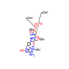 CCCCCCCCCCCCCCCC(=O)OCC(CSC[C@H](NC(=O)OC(C)(C)C)C(=O)N[C@@H](COC(C)(C)C)C(=O)Nc1ccc(Cn2c(O)nc3c(N)nc(NCCCC)nc32)cc1)OC(=O)CCCCCCCCCCCCCCC